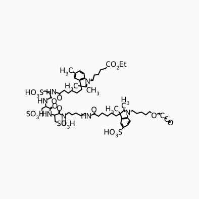 CCOC(=O)CCCCC[N+]1=C(C)C(C)(CCCCCC(=O)NC(CS(=O)(=O)O)C(=O)NC(CS(=O)(=O)O)C(=O)NC(CS(=O)(=O)O)C(=O)NCCCCCNC(=O)CCCCCC2(C)C(C)=[N+](CCCCCOC=C=C=O)c3ccc(S(=O)(=O)O)cc32)c2cc(C)ccc21